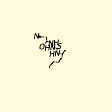 C=C(/C=C\C=C/C)NC(=S)NNC(=O)CC#N